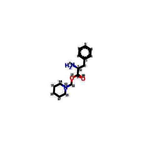 N[C@@H](Cc1ccccc1)C(=O)OCN1CCCCC1